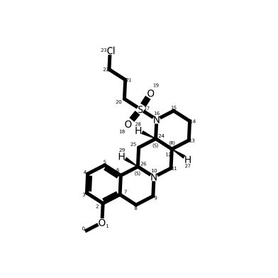 COc1cccc2c1CCN1C[C@H]3CCCN(S(=O)(=O)CCCCl)[C@H]3C[C@@H]21